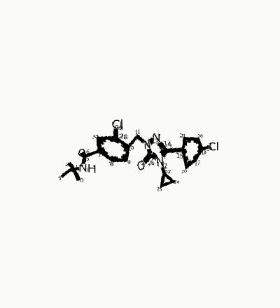 CC(C)(C)NC(=O)c1ccc(Cn2nc(-c3ccc(Cl)cc3)n(C3CC3)c2=O)c(Cl)c1